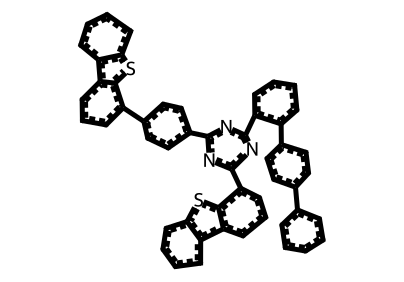 c1ccc(-c2ccc(-c3ccccc3-c3nc(-c4ccc(-c5cccc6c5sc5ccccc56)cc4)nc(-c4cccc5c4sc4ccccc45)n3)cc2)cc1